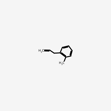 C=CCc1ccc[c]c1C